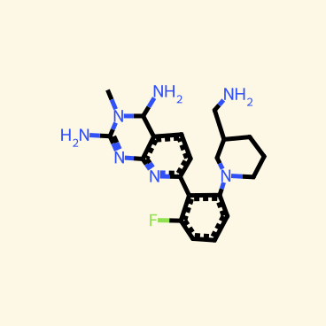 CN1C(N)=Nc2nc(-c3c(F)cccc3N3CCCC(CN)C3)ccc2C1N